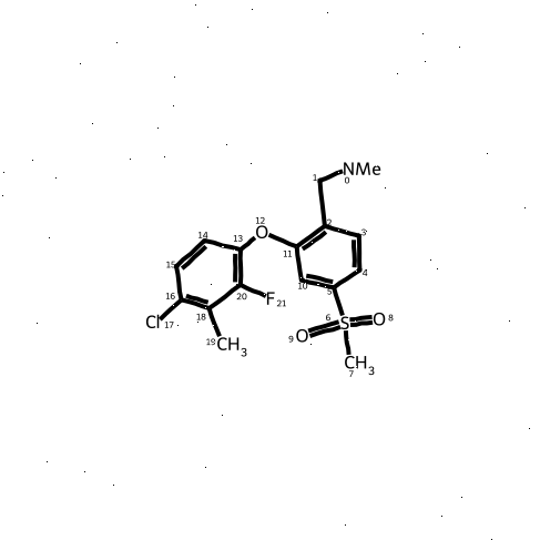 CNCc1ccc(S(C)(=O)=O)cc1Oc1ccc(Cl)c(C)c1F